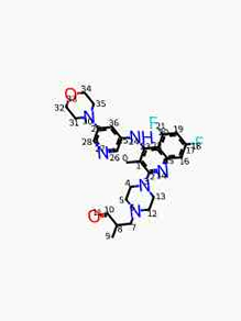 Cc1c(N2CCN(CC(C)C=O)CC2)nc2cc(F)cc(F)c2c1Nc1cncc(N2CCOCC2)c1